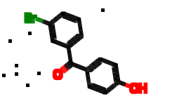 O=C(c1ccc(O)cc1)c1cccc(Br)c1